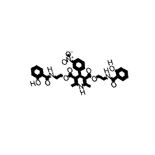 CC1=C(C(=O)OCCNC(=O)c2ccccc2O)C(c2cccc([N+](=O)[O-])c2)C(C(=O)OCCNC(=O)c2ccccc2O)=C(C)N1